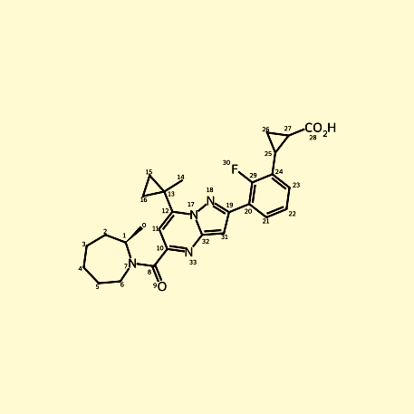 C[C@@H]1CCCCCN1C(=O)c1cc(C2(C)CC2)n2nc(-c3cccc(C4CC4C(=O)O)c3F)cc2n1